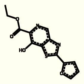 CCOC(=O)c1ncc2nc(-c3ccco3)sc2c1O